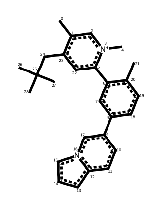 Cc1c[n+](C)c(-c2cc(-c3ccc4cccn4c3)ccc2C)cc1CC(C)(C)C